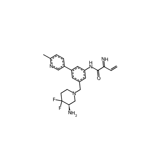 C=CC(=N)C(=O)Nc1cc(CN2CCC(F)(F)[C@H](N)C2)cc(-c2ccc(C)nc2)c1